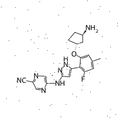 Cc1cc(F)c(-c2cc(Nc3cnc(C#N)cn3)n[nH]2)c(O[C@@H]2CC[C@@H](N)C2)c1